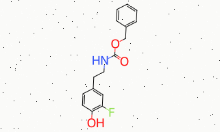 O=C(NCCc1ccc(O)c(F)c1)OCc1ccccc1